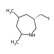 CC1CC(C)NC[C@@H](CI)C1